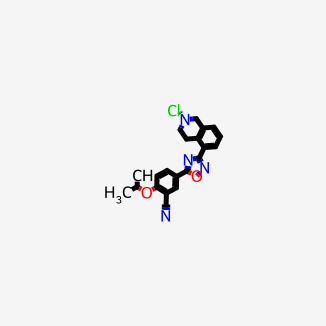 CC(C)Oc1ccc(-c2nc(-c3cccc4c3CCN(Cl)C4)no2)cc1C#N